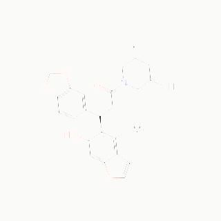 COC1=c2ccoc2=CC(O)[C@H]1C(CC(=O)N1CC(C)C[C@@H](C)C1)c1ccc2c(c1)OCO2